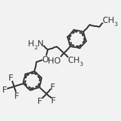 CCCc1ccc(C(C)(O)CC(N)OCc2cc(C(F)(F)F)cc(C(F)(F)F)c2)cc1